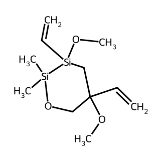 C=CC1(OC)CO[Si](C)(C)[Si](C=C)(OC)C1